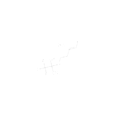 C/C(=C\F)CCOC(C)(C)C(F)(F)F